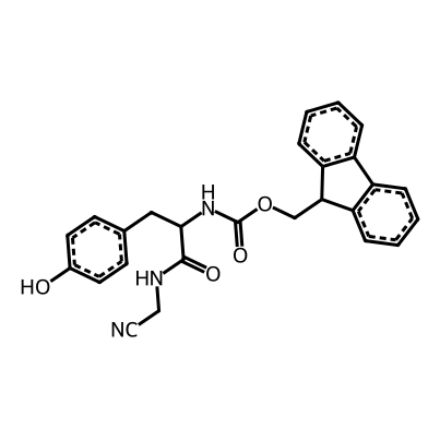 N#CCNC(=O)C(Cc1ccc(O)cc1)NC(=O)OCC1c2ccccc2-c2ccccc21